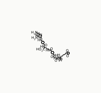 CC(C)[C@H](NC(=O)CCCCCN1C(=O)C=CC1=O)C(=O)N[C@@H](C)C(=O)Nc1ccc(C(=O)NCCC[C@H](NC(=O)c2ccc(NCc3cnc4nc(N)nc(N)c4n3)cc2)C(=O)O)cc1